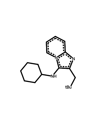 CC(C)(C)Cc1nc2ccccn2c1NC1CCCCC1